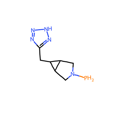 PN1CC2C(Cc3nn[nH]n3)C2C1